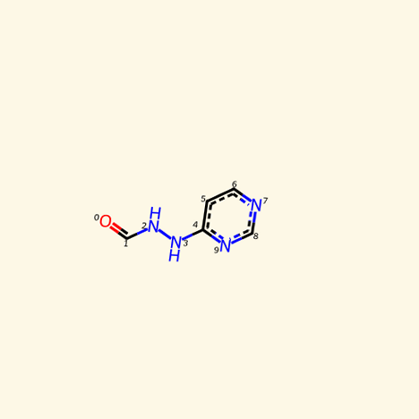 O=CNNc1ccncn1